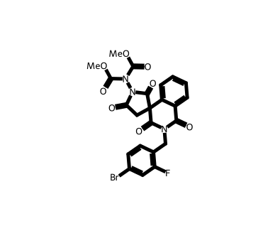 COC(=O)N(C(=O)OC)N1C(=O)CC2(C(=O)N(Cc3ccc(Br)cc3F)C(=O)c3ccccc32)C1=O